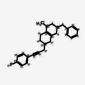 CN1CN(Cc2ccccc2)CC2=C1CCN(CC#Cc1ccc(F)cc1)C2